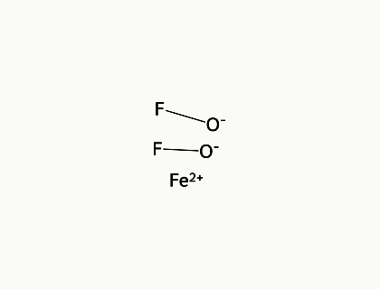 [Fe+2].[O-]F.[O-]F